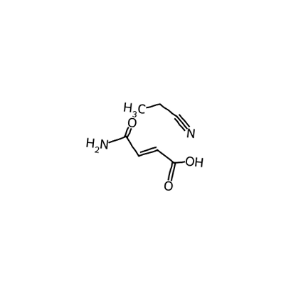 CCC#N.NC(=O)C=CC(=O)O